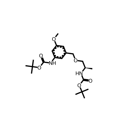 COc1cc(COC[C@@H](C)NC(=O)OC(C)(C)C)cc(NC(=O)OC(C)(C)C)c1